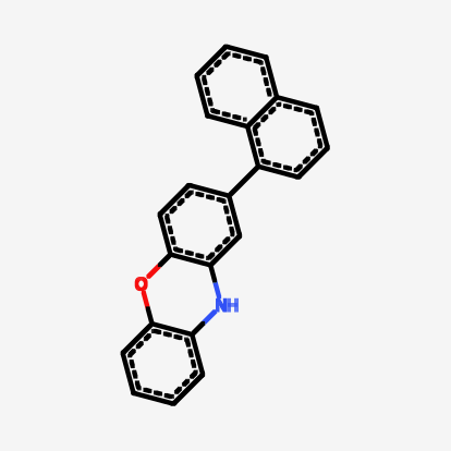 c1ccc2c(c1)Nc1cc(-c3cccc4ccccc34)ccc1O2